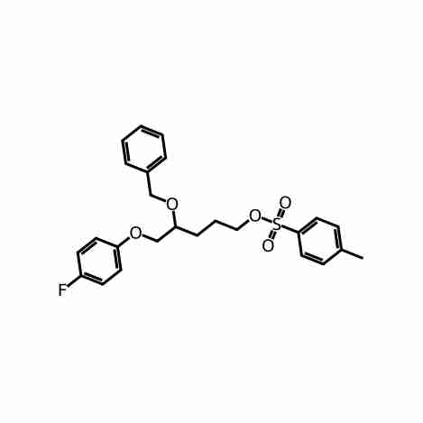 Cc1ccc(S(=O)(=O)OCCCC(COc2ccc(F)cc2)OCc2ccccc2)cc1